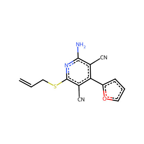 C=CCSc1nc(N)c(C#N)c(-c2ccco2)c1C#N